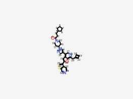 O=C(CCC1CCCC1)N1CCC(n2cc(-c3cnc(CC4=CC=C4)c4oc(-c5csc6cnccc56)cc34)cn2)CC1